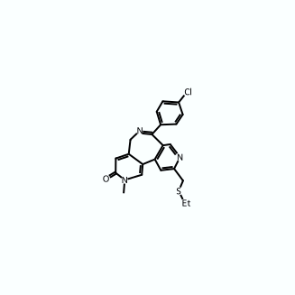 CCSCc1cc2c(cn1)C(c1ccc(Cl)cc1)=NCc1cc(=O)n(C)cc1-2